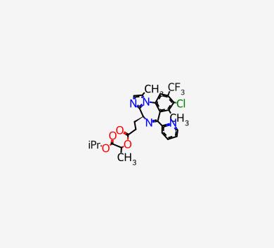 Cc1c(Cl)c(C(F)(F)F)cc2c1C(c1ccccn1)=N[C@@H](CCC(=O)OC(C)C(=O)OC(C)C)c1ncc(C)n1-2